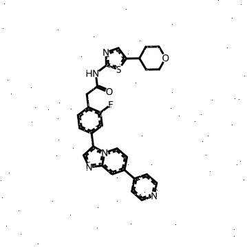 O=C(Cc1ccc(-c2cnc3cc(-c4ccncc4)ccn23)cc1F)Nc1ncc(C2CCOCC2)s1